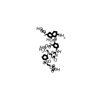 CCN(c1cccc(S(=O)(=O)CCOS(=O)(=O)O)c1)c1nc(Cl)nc(Nc2ccc(N=Nc3c(N)ccc4cc(SOOO)cc(O)c34)c(SOOO)c2)n1